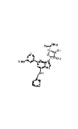 CNC(=O)[C@H]1O[C@@H](n2cnc3c(NCc4ccccc4)nc(-c4cncc(OC)c4)nc32)[C@H](O)[C@@H]1O